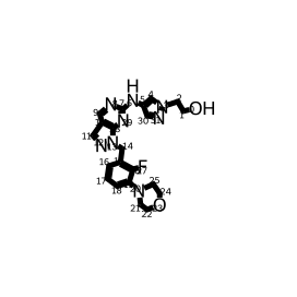 OCCn1cc(Nc2ncc3cnn(Cc4cccc(N5CCOCC5)c4F)c3n2)cn1